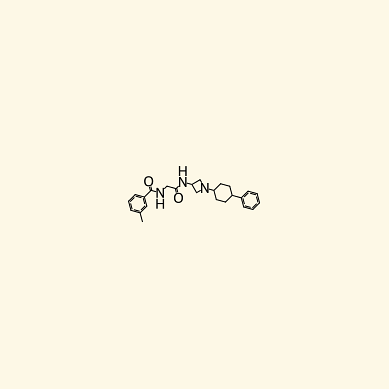 Cc1cccc(C(=O)NCC(=O)NC2CN(C3CCC(c4ccccc4)CC3)C2)c1